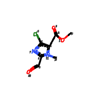 COC(=O)c1c(Cl)nc(C=O)n1C